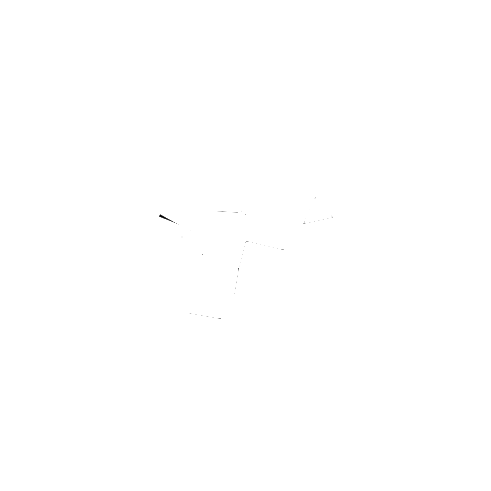 C/C=C\C(CCC1CC1)=C(/C)[C@@H](C)[C@H](C)N